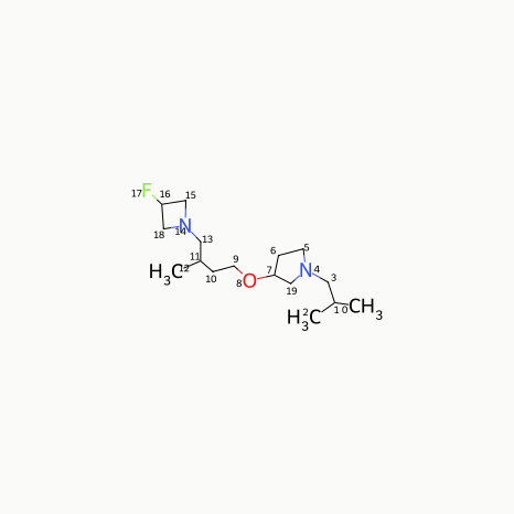 CC(C)CN1CCC(OCCC(C)CN2CC(F)C2)C1